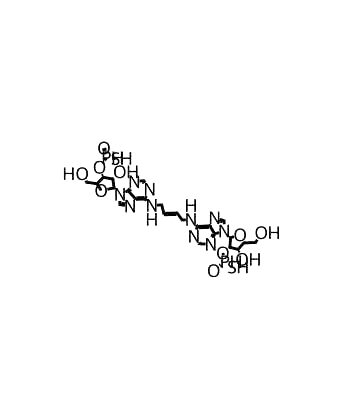 O=[PH](S)O[C@@H]1[C@H](O)C(CO)O[C@H]1n1cnc2c(NC/C=C/CNc3ncnc4c3ncn4[C@@H]3OC(CO)[C@@H](O[PH](=O)S)[C@H]3O)ncnc21